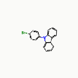 Brc1ccc(N2C3=CC=CCC3c3ccccc32)cc1